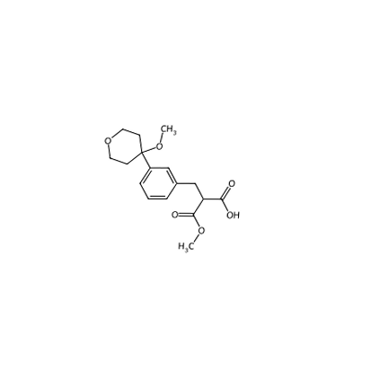 COC(=O)C(Cc1cccc(C2(OC)CCOCC2)c1)C(=O)O